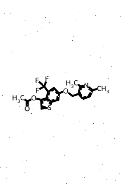 CC(=O)Oc1csc2cc(OCc3ccc(C)nc3C)cc(C(F)(F)F)c12